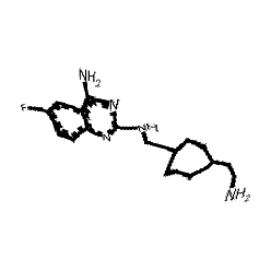 NCC1CCC(CNc2nc(N)c3cc(F)ccc3n2)CC1